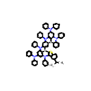 CC(C)c1ccc2sc3c(c2c1)N(c1ccccc1)c1cc(N(c2ccccc2)c2ccccc2)cc2c1B3c1cc3c(cc1N2c1ccccc1)N(c1ccccc1)c1cc(N(c2ccccc2)c2ccccc2)cc2c1B3c1ccccc1N2c1ccccc1